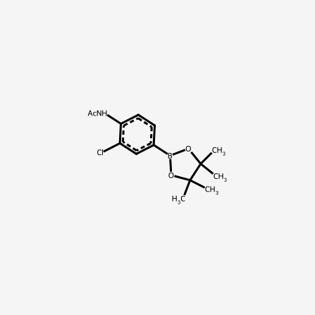 CC(=O)Nc1ccc(B2OC(C)(C)C(C)(C)O2)cc1Cl